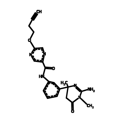 C#CCCOc1cnc(C(=O)Nc2cccc(C3(C)CC(=O)N(C)C(N)=N3)c2)cn1